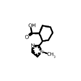 Cn1ccnc1C1CCCCC1C(=O)O